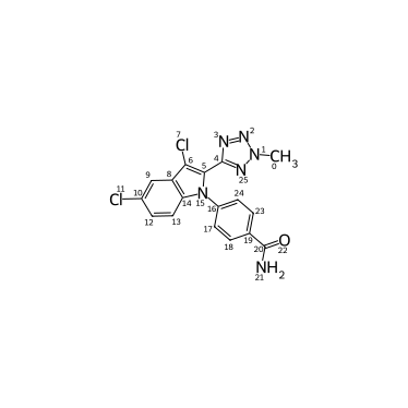 Cn1nnc(-c2c(Cl)c3cc(Cl)ccc3n2-c2ccc(C(N)=O)cc2)n1